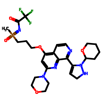 CS(=O)(CCCOc1cc(N2CCOCC2)nc2c(C3=CCNN3C3CCCCO3)nccc12)=NC(=O)C(F)(F)F